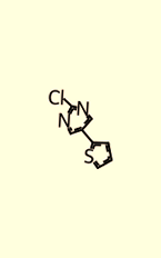 Clc1ncc(-c2cccs2)cn1